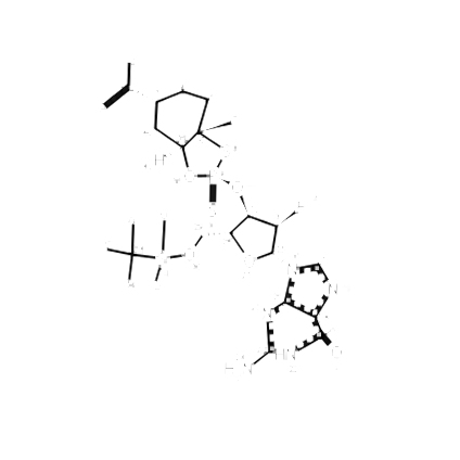 C=C(C)[C@@H]1CC[C@]2(C)S[P@@](=S)(O[C@H]3[C@@H](F)[C@H](n4cnc5c(=O)[nH]c(N)nc54)O[C@@H]3CO[Si](C)(C)C(C)(C)C)O[C@H]2C1